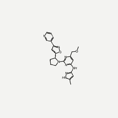 COCc1cc(Nc2cc(C)[nH]n2)nc(N2CCCC2c2cc(-c3cccnc3)no2)n1